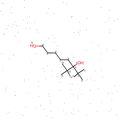 CC(C)(C)C(O)(CCCCCO)C(C)(C)C